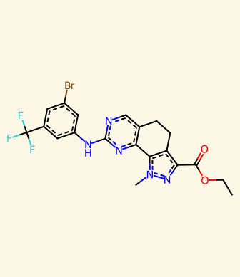 CCOC(=O)c1nn(C)c2c1CCc1cnc(Nc3cc(Br)cc(C(F)(F)F)c3)nc1-2